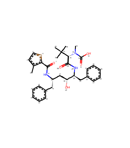 Cc1ccsc1C(=O)N[C@@H](Cc1ccccc1)C[C@@H](O)[C@H](Cc1ccccc1)NC(=O)[C@@H](N(C)C(=O)O)C(C)(C)C